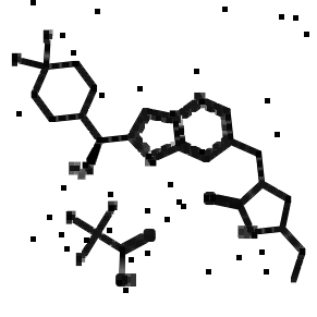 CCC1CC(Cc2cnn3cc([C@@H](N)C4CCC(F)(F)CC4)nc3c2)C(=O)N1.O=C(O)C(F)(F)F